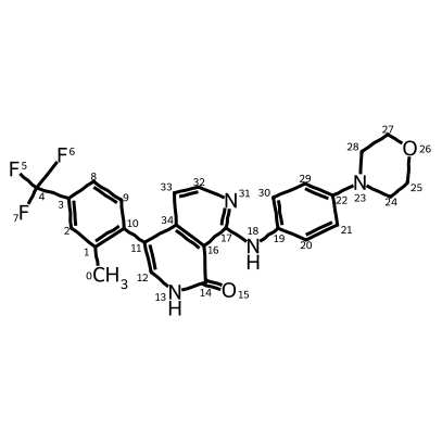 Cc1cc(C(F)(F)F)ccc1-c1c[nH]c(=O)c2c(Nc3ccc(N4CCOCC4)cc3)nccc12